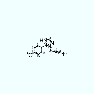 COc1ccc(N2NC=NN2CC#CI)cc1